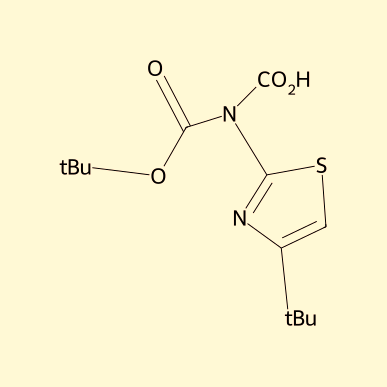 CC(C)(C)OC(=O)N(C(=O)O)c1nc(C(C)(C)C)cs1